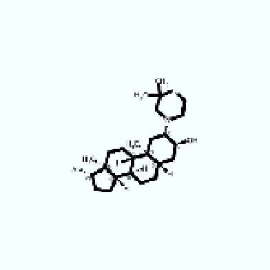 CC(=O)[C@H]1CC[C@H]2[C@@H]3CC[C@H]4C[C@H](O)[C@@H](N5CCOC(C)(C)C5)C[C@]4(C)[C@H]3CC[C@]12C